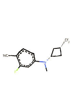 CN(c1ccc(C#N)c(F)c1)[C@H]1C[C@@H](C(F)(F)F)C1